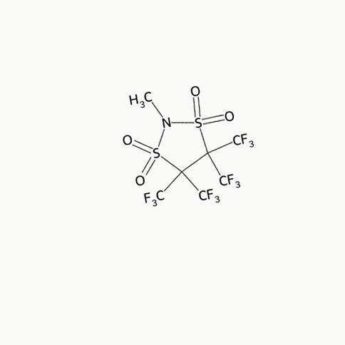 CN1S(=O)(=O)C(C(F)(F)F)(C(F)(F)F)C(C(F)(F)F)(C(F)(F)F)S1(=O)=O